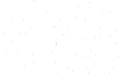 O=C([O-])C(O)C(O)C(=O)[O-].[Mg+2]